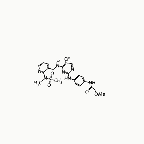 COCC(=O)Nc1ccc(Nc2ncc(C(F)(F)F)c(NCc3cccnc3N(C)S(C)(=O)=O)n2)cc1